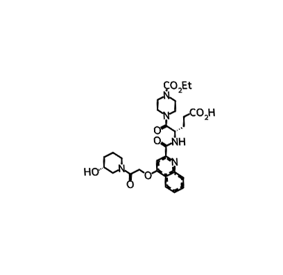 CCOC(=O)N1CCN(C(=O)[C@H](CCC(=O)O)NC(=O)c2cc(OCC(=O)N3CCC[C@@H](O)C3)c3ccccc3n2)CC1